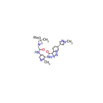 COC1(C)CN(CC(=O)Nc2cnc(C)c(NC(=O)c3nnn4cc(-c5cnn(C)c5)ccc34)c2)C1